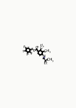 CCN(C)/C=N/c1ccc(C(=O)OCc2cc(F)c(F)c(F)c2F)c(C)c1C